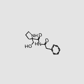 O=C(Cc1ccccc1)NC(=O)C1(CO)CCCN1